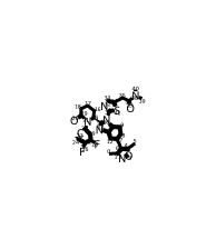 Cc1noc(C)c1-c1ccc2c(c1)nc([C@@H]1CCCC(=O)N1c1ccc(F)c(F)c1)n2-c1ncc(CC(=O)N(C)C)s1